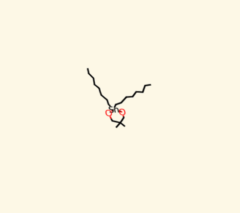 CCCCCCC[CH2][Sn]1([CH2]CCCCCCC)[O]CC(C)(C)C[O]1